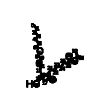 CCCCCCCOCCOCC[C@H]1C(CO)CC(=O)C1CC=CCCCC(=O)OC(C)C